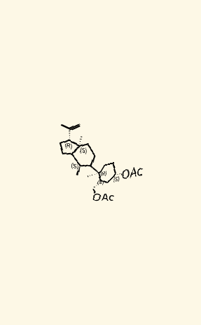 C=C(C)[C@H]1CCC2[C@H](C)C([C@@]3(C)CC[C@H](OC(C)=O)C[C@@H]3COC(C)=O)CC[C@@]21C